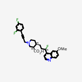 COc1ccc2nccc([C@H](F)CC[C@@H]3CCN(CC#Cc4ccc(F)cc4F)C[C@@H]3C(=O)O)c2c1